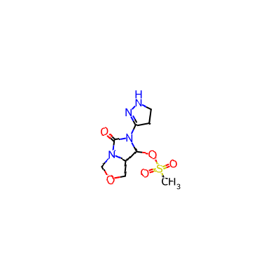 CS(=O)(=O)OC1C2COCN2C(=O)N1C1=NNCC1